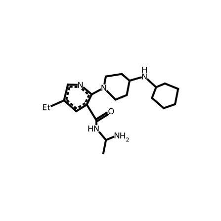 CCc1cnc(N2CCC(NC3CCCCC3)CC2)c(C(=O)NC(C)N)c1